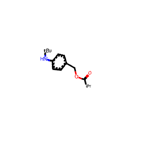 CC(C)C(=O)OCc1ccc(NC(C)(C)C)cc1